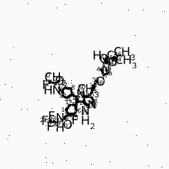 C=C(F)C(=O)Nc1ccc(-c2c(-c3ccc(C(=O)NCC(F)(F)F)c(F)c3)c3c(N)ncc(C#CCOC4CN(C(=O)OC(C)(C)C)C4)c3n2C)cc1